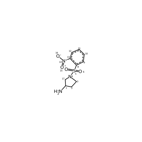 NC1CCN(S(=O)(=O)c2ccccc2[N+](=O)[O-])C1